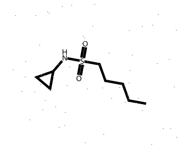 CCCCCS(=O)(=O)NC1CC1